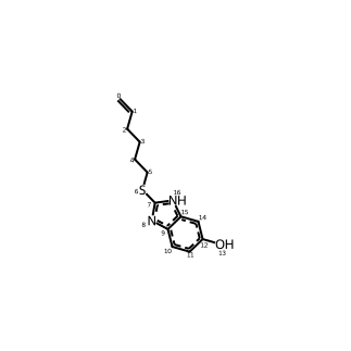 C=CCCCCSc1nc2ccc(O)cc2[nH]1